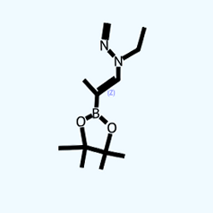 C=NN(/C=C(\C)B1OC(C)(C)C(C)(C)O1)CC